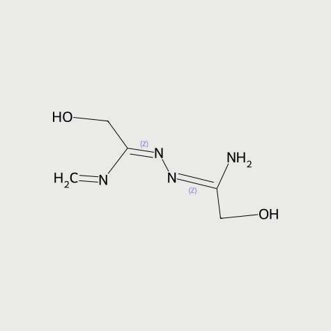 C=N/C(CO)=N\N=C(/N)CO